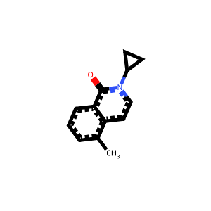 Cc1cccc2c(=O)n(C3CC3)ccc12